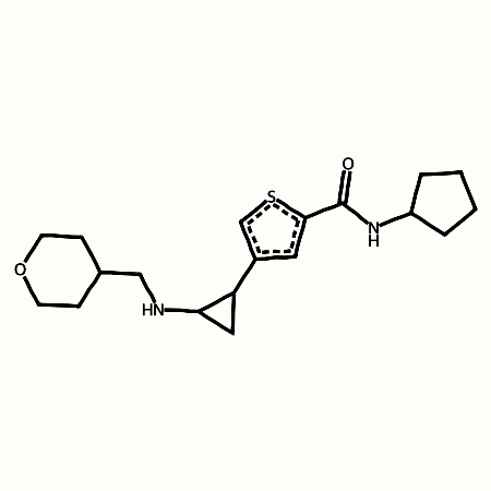 O=C(NC1CCCC1)c1cc(C2CC2NCC2CCOCC2)cs1